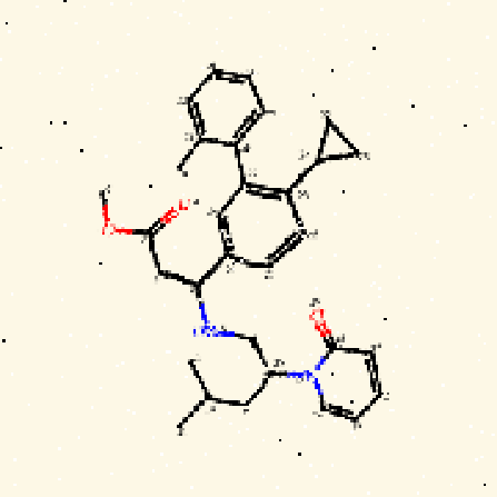 COC(=O)CC(NC[C@H](CC(C)C)n1ccccc1=O)c1ccc(C2CC2)c(-c2ccccc2C)c1